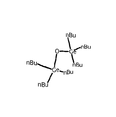 CCC[CH2][Ge]([CH2]CCC)([CH2]CCC)[O][Ge]([CH2]CCC)([CH2]CCC)[CH2]CCC